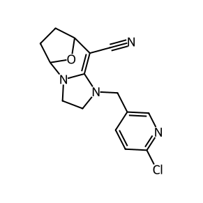 N#CC1=C2N(Cc3ccc(Cl)nc3)CCN2C2CCC1O2